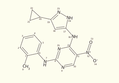 Cc1ccccc1Nc1ncc([N+](=O)[O-])c(Nc2cc(C3CC3)n[nH]2)n1